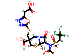 CC(=O)N(C1C(=O)N2CC(CSc3nnc(CC(=O)O)o3)(C(=O)O)CS[C@H]12)S(=O)(=O)CC(F)(F)F